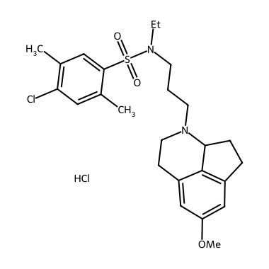 CCN(CCCN1CCc2cc(OC)cc3c2C1CC3)S(=O)(=O)c1cc(C)c(Cl)cc1C.Cl